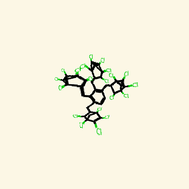 ClC1=C(Cl)C2(Cl)CC1(Cl)C(Cl)C2Cc1ccc(CC2C(Cl)C3(Cl)CC2(Cl)C(Cl)=C3Cl)c(CC2C(Cl)C3(Cl)CC2(Cl)C(Cl)=C3Cl)c1CC1C(Cl)C2(Cl)CC1(Cl)C(Cl)=C2Cl